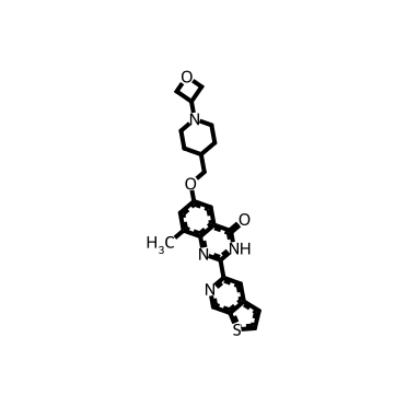 Cc1cc(OCC2CCN(C3COC3)CC2)cc2c(=O)[nH]c(-c3cc4ccsc4cn3)nc12